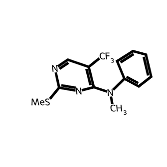 CSc1ncc(C(F)(F)F)c(N(C)c2ccccc2)n1